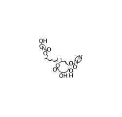 C/C(=C\C=C\C(C)COC(=O)N1CC[C@@H](O)C1)[C@H]1OC(=O)C[C@@H](O)CC[C@](C)(O)[C@@H](OC(=O)N2CCN(C)CC2)/C=C/[C@@H]1C